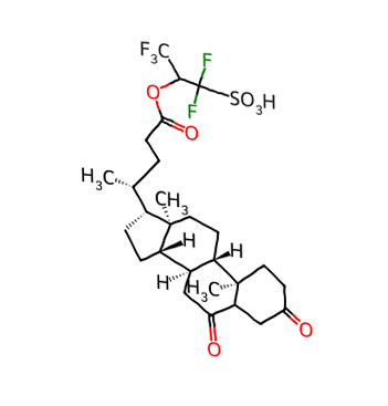 C[C@H](CCC(=O)OC(C(F)(F)F)C(F)(F)S(=O)(=O)O)[C@H]1CC[C@H]2[C@@H]3CC(=O)C4CC(=O)CC[C@]4(C)[C@H]3CC[C@]12C